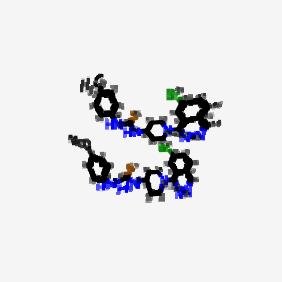 COc1ccc(NC(=S)NC2CCN(c3nncc4ccc(Br)cc34)CC2)cc1.Cc1ccc(NC(=S)NC2CCN(c3nncc4ccc(Br)cc34)CC2)cc1